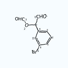 O=[C]C(OC=O)c1cccc(Br)c1